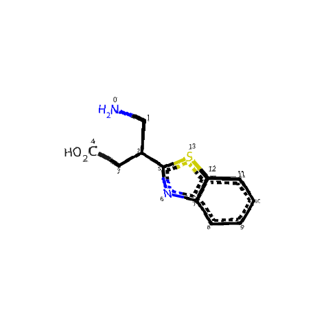 NCC(CC(=O)O)c1nc2ccccc2s1